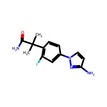 CC(C)(C(N)=O)c1ccc(-n2ccc(N)n2)cc1F